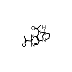 CC(=O)c1ncc2c(n1)N(C(C)=O)[C@H]1CCN2C1